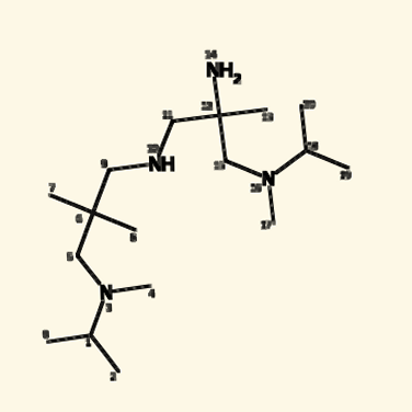 CC(C)N(C)CC(C)(C)CNCC(C)(N)CN(C)C(C)C